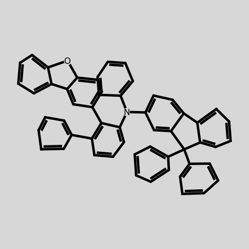 c1ccc(-c2cccc(N(c3ccccc3)c3ccc4c(c3)C(c3ccccc3)(c3ccccc3)c3ccccc3-4)c2-c2ccc3oc4ccccc4c3c2)cc1